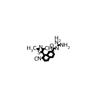 [C-]#[N+]c1ccc2ccc(C(=O)N=C(N)N)cc2c1-c1sc(C)nc1C